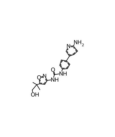 CC(C)(CO)c1cc(NC(=O)Nc2ccc(-c3ccc(N)nc3)cc2)no1